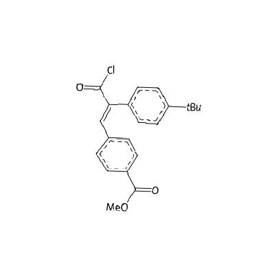 COC(=O)c1ccc(/C=C(/C(=O)Cl)c2ccc(C(C)(C)C)cc2)cc1